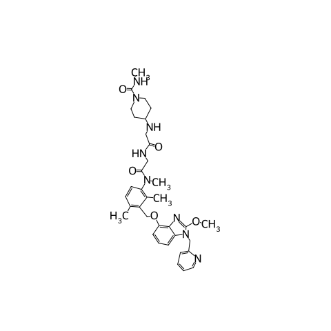 CNC(=O)N1CCC(NCC(=O)NCC(=O)N(C)c2ccc(C)c(COc3cccc4c3nc(OC)n4Cc3ccccn3)c2C)CC1